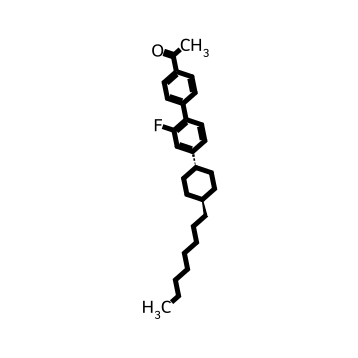 CCCCCCCC[C@H]1CC[C@H](c2ccc(-c3ccc(C(C)=O)cc3)c(F)c2)CC1